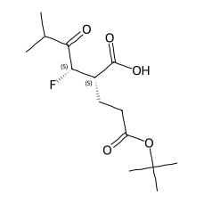 CC(C)C(=O)[C@@H](F)[C@@H](CCC(=O)OC(C)(C)C)C(=O)O